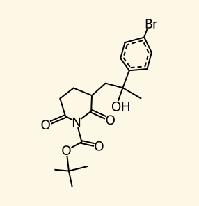 CC(C)(C)OC(=O)N1C(=O)CCC(CC(C)(O)c2ccc(Br)cc2)C1=O